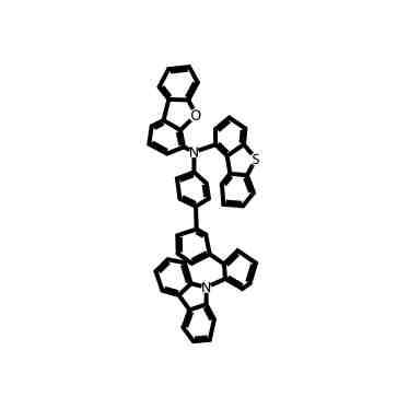 c1cc(-c2ccc(N(c3cccc4c3oc3ccccc34)c3cccc4sc5ccccc5c34)cc2)cc(-c2ccccc2-n2c3ccccc3c3ccccc32)c1